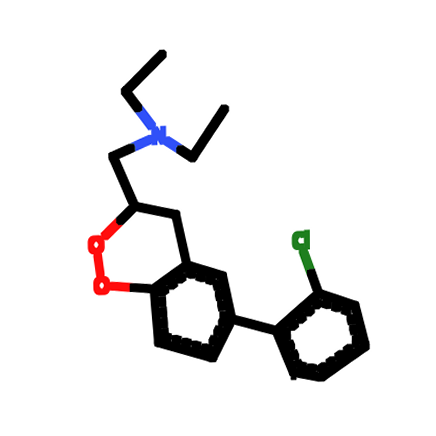 CCN(CC)CC1Cc2cc(-c3[c]cccc3Cl)ccc2OO1